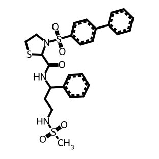 CS(=O)(=O)NCCC(NC(=O)C1SCCN1S(=O)(=O)c1ccc(-c2ccccc2)cc1)c1ccccc1